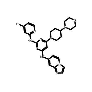 CCc1ccnc(Nc2nc(Nc3ccn4ccnc4c3)cc(N3CCC(N4CCOCC4)CC3)n2)c1